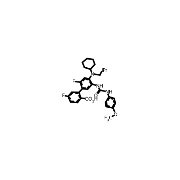 CC(C)CN(c1cc(F)c(-c2cc(F)ccc2C(=O)O)cc1NC(=O)Nc1ccc(OC(F)(F)F)cc1)C1CCCCC1